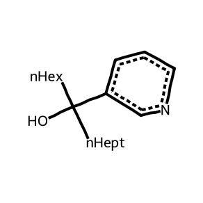 CCCCCCCC(O)(CCCCCC)c1cccnc1